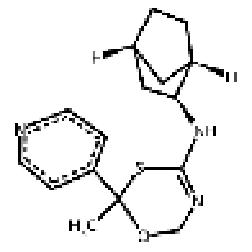 CC1(c2ccncc2)OCN=C(N[C@H]2C[C@@H]3CC[C@H]2C3)S1